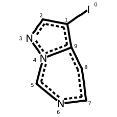 Ic1cnn2cnccc12